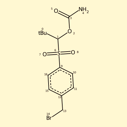 CC(C)(C)C(OC(N)=O)S(=O)(=O)c1ccc(CBr)cc1